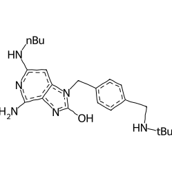 CCCCNc1cc2c(nc(O)n2Cc2ccc(CNC(C)(C)C)cc2)c(N)n1